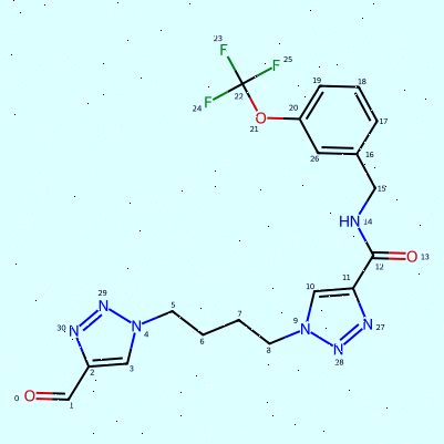 O=Cc1cn(CCCCn2cc(C(=O)NCc3cccc(OC(F)(F)F)c3)nn2)nn1